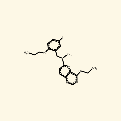 CCCOc1ccc(F)cc1CN(C)c1ccc2ncnc(NCC)c2n1